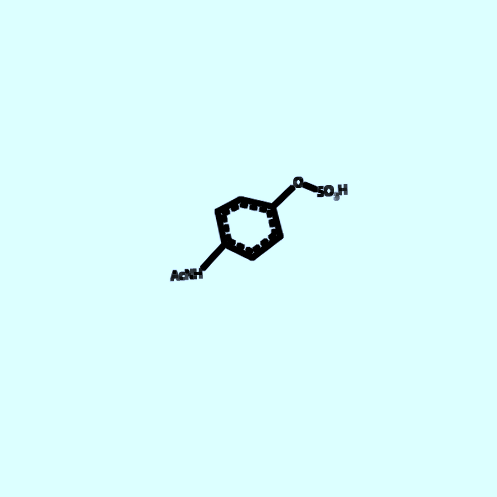 CC(=O)Nc1ccc(OS(=O)(=O)O)cc1